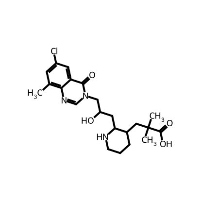 Cc1cc(Cl)cc2c(=O)n(CC(O)CC3NCCCC3CC(C)(C)C(=O)O)cnc12